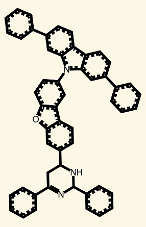 c1ccc(C2=NC(c3ccccc3)NC(c3ccc4c(c3)oc3ccc(-n5c6cc(-c7ccccc7)ccc6c6ccc(-c7ccccc7)cc65)cc34)C2)cc1